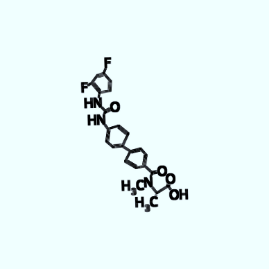 C[C@@H](C(=O)O)N(C)C(=O)c1ccc(-c2ccc(NC(=O)Nc3ccc(F)cc3F)cc2)cc1